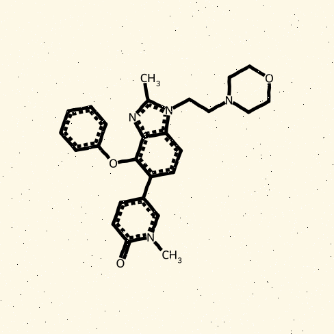 Cc1nc2c(Oc3ccccc3)c(-c3ccc(=O)n(C)c3)ccc2n1CCN1CCOCC1